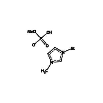 CCn1cc[n+](C)c1.COP(=O)([O-])O